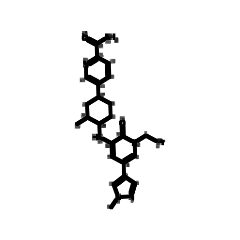 CC(C)Cn1cc(-c2cnn(C)c2)cc(NC2CCC(c3ccc(C(N)=O)nc3)CC2C)c1=O